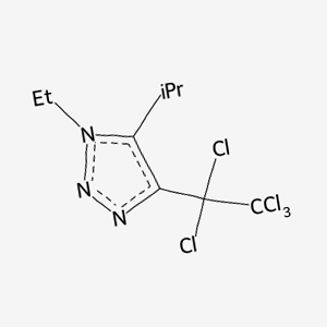 CCn1nnc(C(Cl)(Cl)C(Cl)(Cl)Cl)c1C(C)C